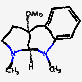 CO[C@@]12CCN(C)[C@@H]1N(C)c1ccccc12